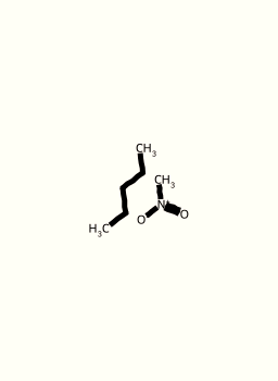 CCCCC.C[N+](=O)[O-]